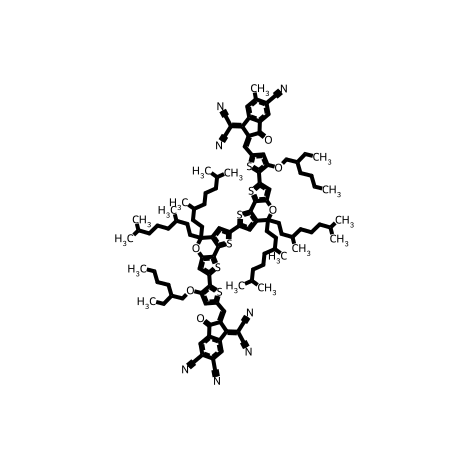 CCCCC(CC)COc1cc(/C=C2\C(=O)c3cc(C#N)c(C)cc3C2=C(C#N)C#N)sc1-c1cc2c(s1)-c1sc(-c3cc4c(s3)-c3sc(-c5sc(/C=C6\C(=O)c7cc(C#N)c(C#N)cc7C6=C(C#N)C#N)cc5OCC(CC)CCCC)cc3OC4(CCC(C)CCCC(C)C)CCC(C)CCCC(C)C)cc1C(CCC(C)CCCC(C)C)(CCC(C)CCCC(C)C)O2